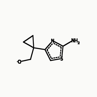 Nc1nc(C2(C[O])CC2)cs1